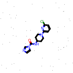 O=C(NC1CCN(c2cccc(Cl)n2)CC1)n1ccnc1